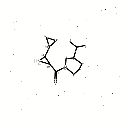 CC(C)C1CCCN(C(=O)C2NC2C2CC2)C1